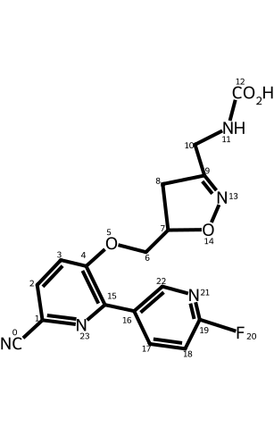 N#Cc1ccc(OCC2CC(CNC(=O)O)=NO2)c(-c2ccc(F)nc2)n1